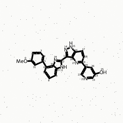 COc1cccc(-c2cccc3[nH]c(-c4n[nH]c5ccc(-c6cncc(O)c6)nc45)nc23)c1